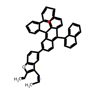 C=Cc1oc2ccc(-c3ccc4c(-c5cccc6ccccc56)c5ccccc5c(-c5ccccc5-c5ccccc5)c4c3)cc2c1/C=C\C